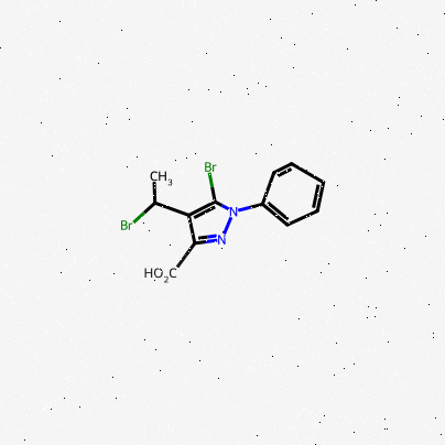 CC(Br)c1c(C(=O)O)nn(-c2ccccc2)c1Br